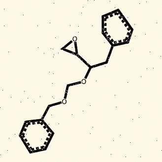 c1ccc(COCOC(Cc2ccccc2)C2CO2)cc1